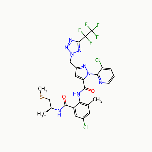 CSC[C@H](C)NC(=O)c1cc(Cl)cc(C)c1NC(=O)c1cc(Cn2nnc(C(F)(F)C(F)(F)F)n2)nn1-c1ncccc1Cl